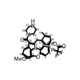 COCCOc1ccccc1-n1c(Cc2ccccc2C)c(C(=O)N2CCNCC2)c2ccccc21.O=C(O)C(F)(F)F